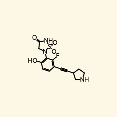 O=C1CN(c2c(O)ccc(C#CC3CCNC3)c2F)S(=O)(=O)N1